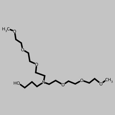 COCCOCCOCCN(CCCO)CCOCCOCCOC